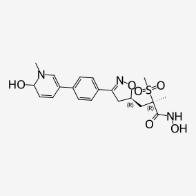 CN1C=C(c2ccc(C3=NO[C@@H](C[C@](C)(C(=O)NO)S(C)(=O)=O)C3)cc2)C=CC1O